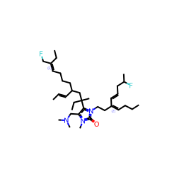 CC=CC(CCC/C=C(\CC)CF)CC(C)(CC)c1c(CN(C)C)n(C)c(=O)n1CC/C(C=CCC(C)F)=C/CCC